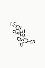 N#Cc1ccc(-n2cccc2C(=O)NNc2ncc(C(F)(F)F)cc2Cl)c(Cl)c1